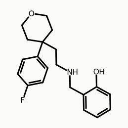 Oc1ccccc1CNCCC1(c2ccc(F)cc2)CCOCC1